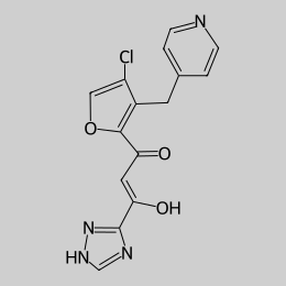 O=C(C=C(O)c1nc[nH]n1)c1occ(Cl)c1Cc1ccncc1